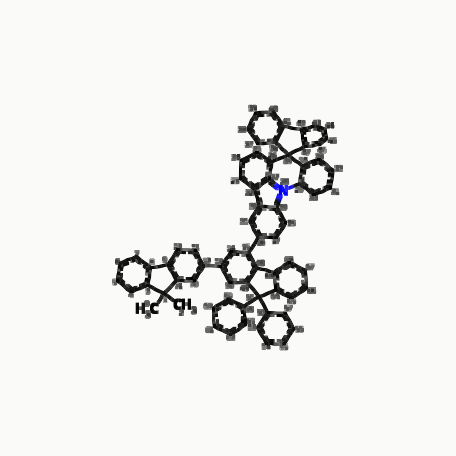 CC1(C)c2ccccc2-c2ccc(-c3cc(-c4ccc5c(c4)c4cccc6c4n5-c4ccccc4C64c5ccccc5-c5ccccc54)c4c(c3)C(c3ccccc3)(c3ccccc3)c3ccccc3-4)cc21